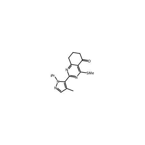 CSc1nc(-c2c(C)cnn2C(C)C)nc2c1C(=O)CCC2